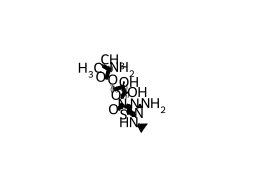 CC(C)[C@H](N)C(=O)OC[C@H]1O[C@@H](n2c(=O)sc3c(NC4CC4)nc(N)nc32)[C@H](O)[C@@H]1O